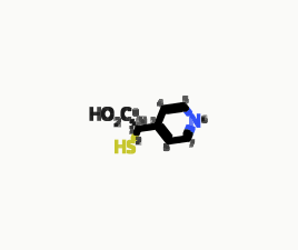 O=C(O)[C@@H](S)c1ccncc1